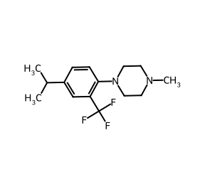 CC(C)c1ccc(N2CCN(C)CC2)c(C(F)(F)F)c1